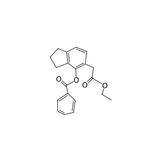 CCOC(=O)Cc1ccc2c(c1OC(=O)c1ccccc1)CCC2